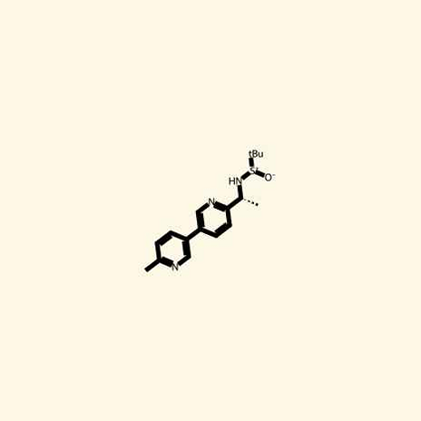 Cc1ccc(-c2ccc([C@@H](C)N[S+]([O-])C(C)(C)C)nc2)cn1